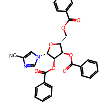 N#Cc1cn([C@@H]2O[C@H](COC(=O)c3ccccc3)[C@@H](OC(=O)c3ccccc3)[C@H]2OC(=O)c2ccccc2)cn1